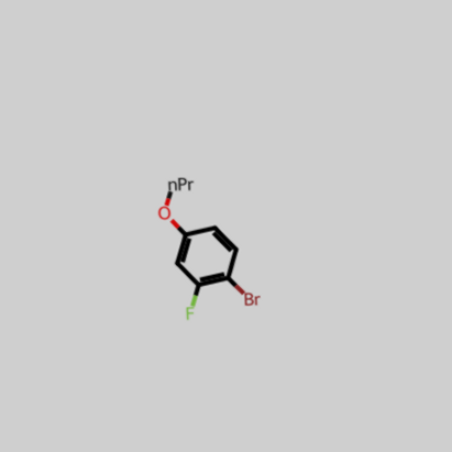 CCCOc1ccc(Br)c(F)c1